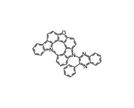 c1ccc(-c2nc3ccccc3nc2-n2c3ccc4oc5ccc6c7ccccc7n7c8cccc2c8c3c4c5c67)cc1